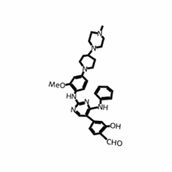 COc1cc(N2CCC(N3CCN(C)CC3)CC2)ccc1Nc1ncc(-c2ccc(C=O)c(O)c2)c(Nc2ccccc2)n1